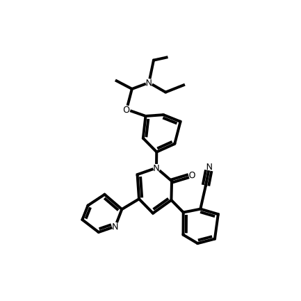 CCN(CC)C(C)Oc1cccc(-n2cc(-c3ccccn3)cc(-c3ccccc3C#N)c2=O)c1